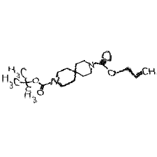 C=CCOC(=O)N1CCC2(CC1)CCN(C(=O)OC(C)(C)C)CC2